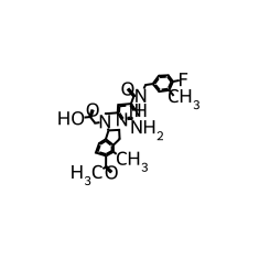 CC(=O)c1ccc2c(c1C)CCC2N(CC(=O)O)Cc1cc(C(=O)NCc2ccc(F)c(C)c2)nc(N)n1